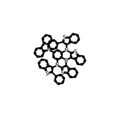 c1ccc(-c2sc3ccccc3c2N2c3cc(-n4c5ccccc5c5ccccc54)cc4c3B(c3c2sc2ccccc32)c2c(sc3ccccc23)N4c2c(-c3ccccc3)sc3ccccc23)cc1